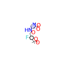 C=N/C(=C\C(=C/C)NC(=O)Cc1cc2c(cc1F)C(C)(C)C(=O)O2)C(=O)OC